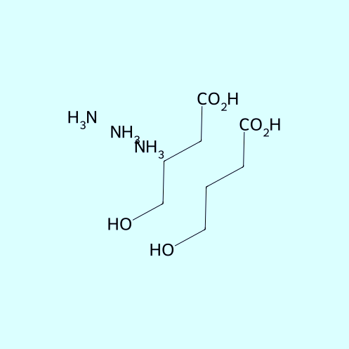 N.N.N.O=C(O)CCCO.O=C(O)CCCO